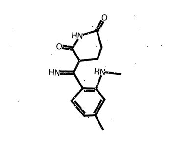 CNc1cc(C)ccc1C(=N)C1CCC(=O)NC1=O